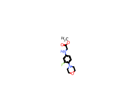 COC(=O)CNc1ccc(N2CCOCC2)c(F)c1